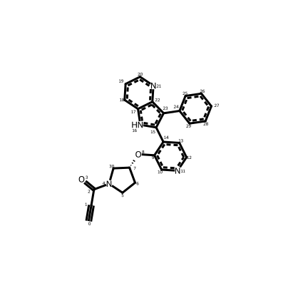 C#CC(=O)N1CC[C@@H](Oc2cnccc2-c2[nH]c3cccnc3c2-c2ccccc2)C1